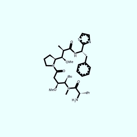 CC[C@H](C)C([C@H](CC(=O)N1CCC[C@H]1[C@H](OC)[C@@H](C)C(=O)N[C@@H](Cc1ccccc1)c1nccs1)OC)N(C)C(=O)[C@@H](N)C(C)C